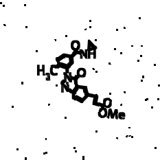 COC(=O)/C=C/c1ccc2ncn(-c3cc(C(=O)NC4CC4)ccc3C)c(=O)c2c1